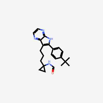 CC(C)(C)c1ccc(-c2[nH]c3nccnc3c2CCCC2(NC=O)CC2)cc1